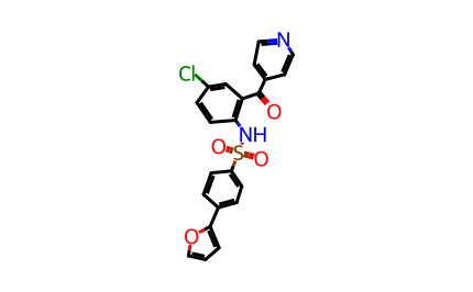 O=C(c1ccncc1)c1cc(Cl)ccc1NS(=O)(=O)c1ccc(-c2ccco2)cc1